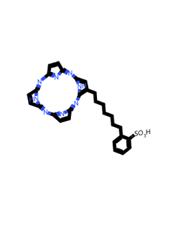 O=S(=O)(O)c1ccccc1CCCCCCCc1cc2nc3nc(nc4ccc(nc5nc(nc1[nH]2)C=C5)[nH]4)C=C3